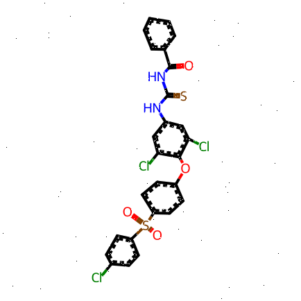 O=C(NC(=S)Nc1cc(Cl)c(Oc2ccc(S(=O)(=O)c3ccc(Cl)cc3)cc2)c(Cl)c1)c1ccccc1